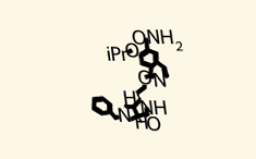 CC(C)Oc1cc2c(OCC[C@H]3NC(=O)[C@@H]4CN(Cc5ccccc5)C[C@H]34)nccc2cc1C(N)=O